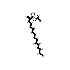 C=C(CCCCCCCCCCCCCC)C(=O)OC(C)C